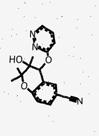 CC1(C)Oc2ccc(C#N)cc2C(Oc2cccnn2)C1(C)O